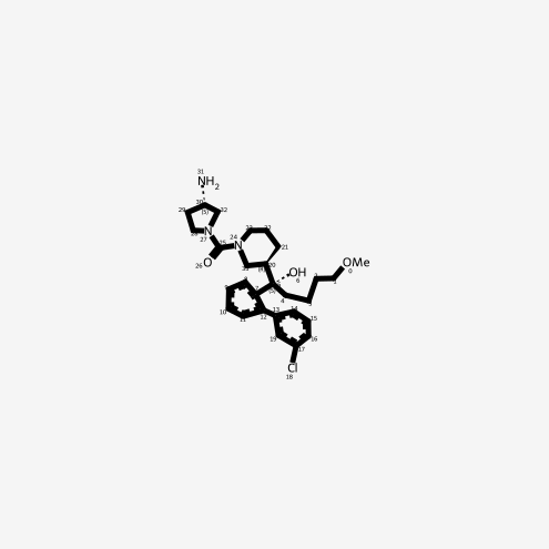 COCCCC[C@@](O)(c1ccccc1-c1cccc(Cl)c1)[C@@H]1CCCN(C(=O)N2CC[C@H](N)C2)C1